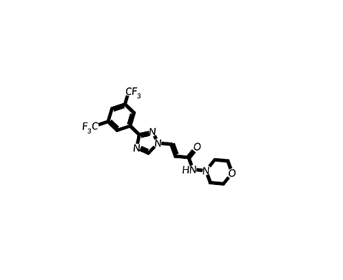 O=C(C=Cn1cnc(-c2cc(C(F)(F)F)cc(C(F)(F)F)c2)n1)NN1CCOCC1